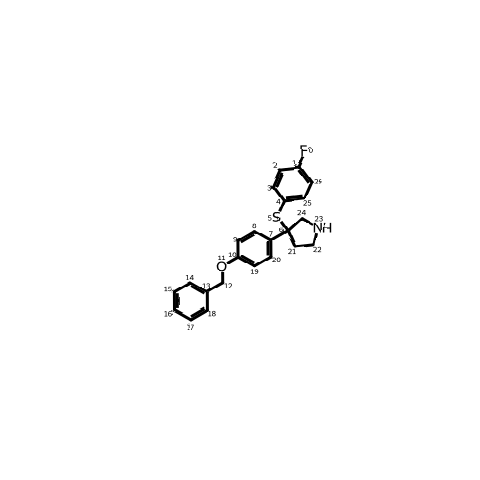 Fc1ccc(SC2(c3ccc(OCc4ccccc4)cc3)CCNC2)cc1